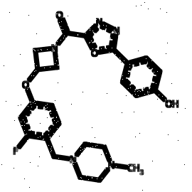 CN1CCN(Cc2ccc(OC3CN(C(=O)c4nnc(-c5ccc(O)cc5)o4)C3)cc2F)CC1